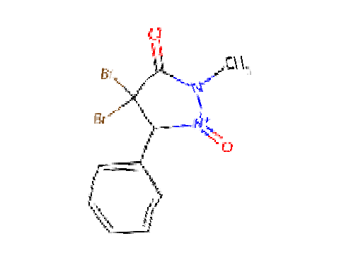 CN1C(=O)C(Br)(Br)C(c2ccccc2)[N+]1=O